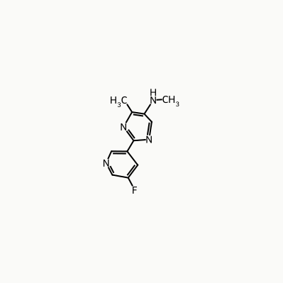 CNc1cnc(-c2cncc(F)c2)nc1C